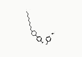 CCCCCCCCCCC1CCC(c2ccc(C(F)(F)OC(C)c3ccc(OC(F)(F)F)cc3)cc2)CC1